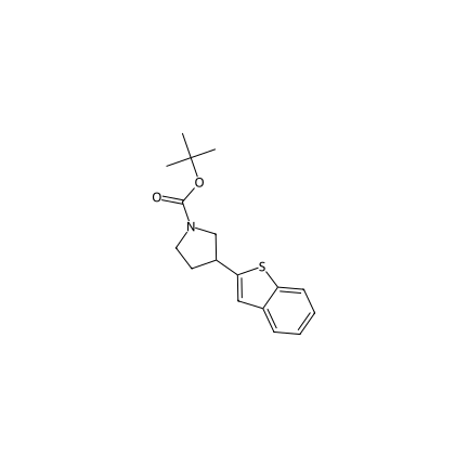 CC(C)(C)OC(=O)N1CCC(c2cc3ccccc3s2)C1